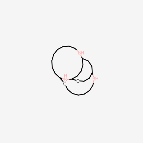 B1C2CCCCCCCBC3CCCC1CCCC(BCCCCCCCC2)CC3